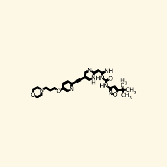 CC(C)(C)c1cc(NC(=O)NC(=N)/C=C2/N=CC(C#Cc3ccc(OCCCN4CCOCC4)cn3)=CN2)no1